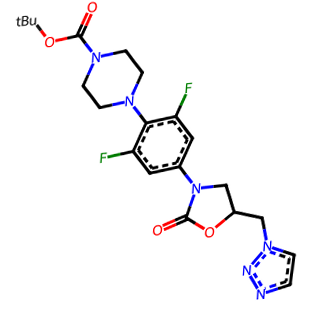 CC(C)(C)OC(=O)N1CCN(c2c(F)cc(N3CC(Cn4ccnn4)OC3=O)cc2F)CC1